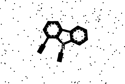 C#Cc1cccc2c1[SiH](C#C)c1ccccc1-2